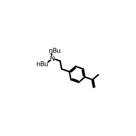 C=C(C)c1ccc(CCN(CCCC)CCCC)cc1